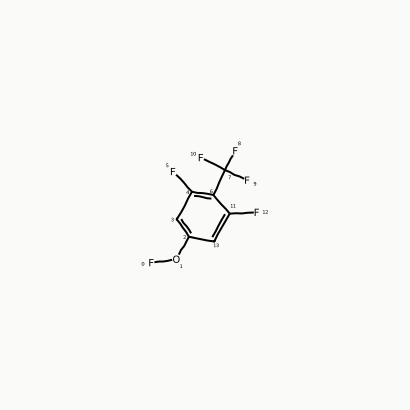 FOc1cc(F)c(C(F)(F)F)c(F)c1